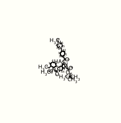 CCc1ccccc1N(CC)C(=O)N1Cc2c([AsH]C(=O)c3ccc(N4CCN(C)CC4)cc3)nn(C(=O)OCC(C)(C)C)c2C1